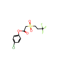 O=C(CS(=O)(=O)CCC(F)(F)F)Oc1ccc(Cl)cc1